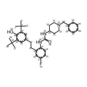 CC(C)(C)c1cc(CCc2cc(F)ccc2NC(=O)NC2CCN(Cc3ccccc3)CC2)cc(C(C)(C)C)c1O